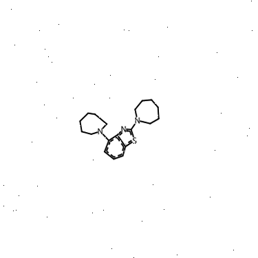 c1cc(N2CCCCCC2)c2nc(N3CCCCCC3)sc2c1